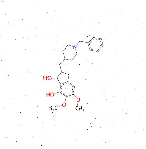 COc1cc2c(c(O)c1OC)C(O)C(CC1CCN(Cc3ccccc3)CC1)C2